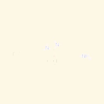 NCCCCN1CCN(C(CC(=O)O)c2cccc(C(F)(F)F)c2)C1=O